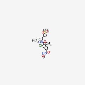 Cc1c(C(=O)N[C@@H](CCc2cccc(S(C)(=O)=O)c2)C(=O)O)c(Cl)cc2cc(C(=O)NCc3ccco3)ccc12